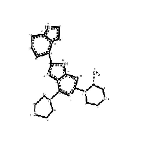 C[C@@H]1COCCN1c1nc(N2CCOCC2)c2nc(-c3cccc4[nH]ccc34)[nH]c2n1